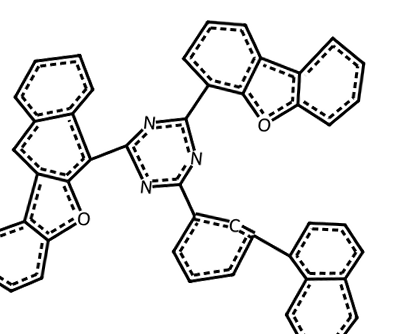 c1cc(-c2nc(-c3cccc4c3oc3ccccc34)nc(-c3c4ccccc4cc4c3oc3ccccc34)n2)cc(-c2cccc3ccccc23)c1